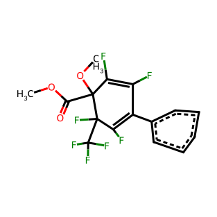 COC(=O)C1(OC)C(F)=C(F)C(c2ccccc2)=C(F)C1(F)C(F)(F)F